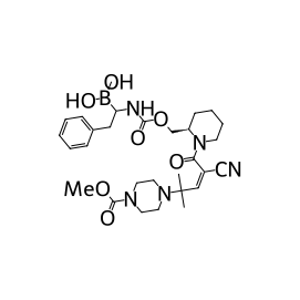 COC(=O)N1CCN(C(C)(C)C=C(C#N)C(=O)N2CCCC[C@@H]2COC(=O)NC(Cc2ccccc2)B(O)O)CC1